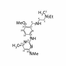 CCN(C)CCNCc1cc(Nc2nc(C)cc(NC)n2)ccc1OC